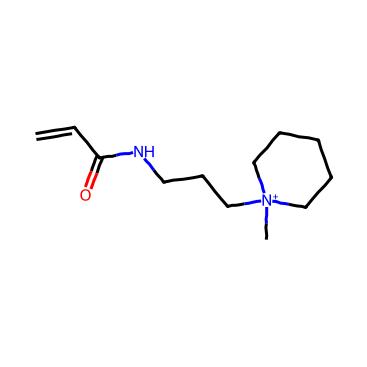 C=CC(=O)NCCC[N+]1(C)CCCCC1